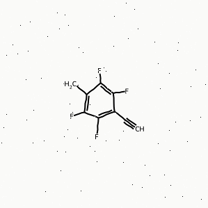 C#Cc1c(F)c(F)c([CH2])c(F)c1F